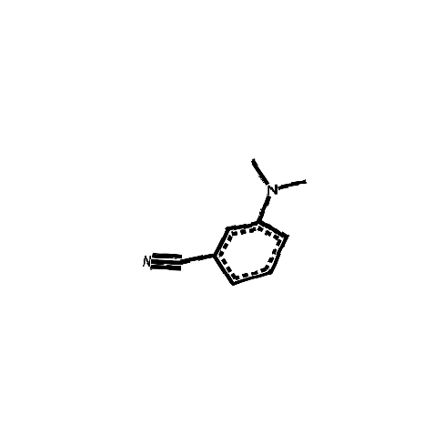 CN(C)c1cccc(C#N)c1